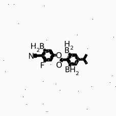 Bc1cc(OC(=O)c2c(B)cc(C(C)C)cc2B)cc(F)c1C#N